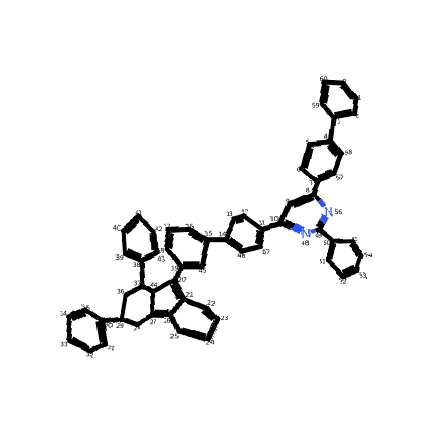 c1ccc(-c2ccc(-c3cc(-c4ccc(-c5cccc(C6=c7ccccc7=C7CC(c8ccccc8)CC(c8ccccc8)C76)c5)cc4)nc(-c4ccccc4)n3)cc2)cc1